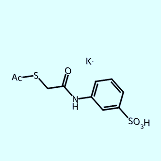 CC(=O)SCC(=O)Nc1cccc(S(=O)(=O)O)c1.[K]